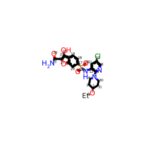 CCOC1CCN(c2ncc(Cl)cc2NS(=O)(=O)c2ccc3c(O)c(C(N)=O)oc3c2)CC1